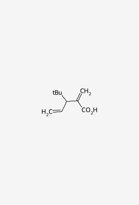 C=CC(C(=C)C(=O)O)C(C)(C)C